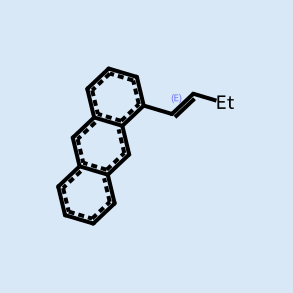 CC/C=C/c1cccc2cc3ccccc3cc12